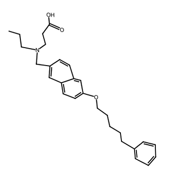 CCCN(CCC(=O)O)Cc1ccc2cc(OCCCCCc3ccccc3)ccc2c1